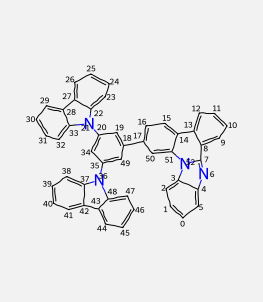 c1ccc2c(c1)nc1c3ccccc3c3ccc(-c4cc(-n5c6ccccc6c6ccccc65)cc(-n5c6ccccc6c6ccccc65)c4)cc3n21